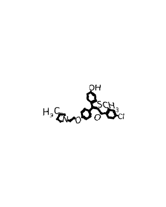 Cc1cc(Cl)ccc1C(=O)c1sc2cc(O)ccc2c1-c1ccc(OCCN2CC[C@@H](C)C2)cc1